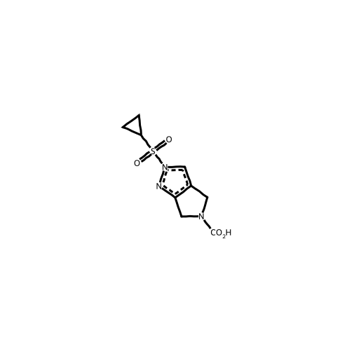 O=C(O)N1Cc2cn(S(=O)(=O)C3CC3)nc2C1